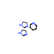 C1=NCCN1.C1=NCCN1.c1ccncc1